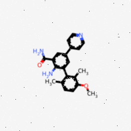 COc1ccc(C)c(-c2cc(-c3ccncc3)cc(C(N)=O)c2N)c1C